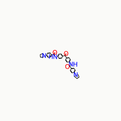 O=C(Nc1ccc(C(=O)c2ccc(NC(=O)c3ccc(N4CCCC4)cc3)cc2)cc1)c1ccc(N2CCCC2)cc1